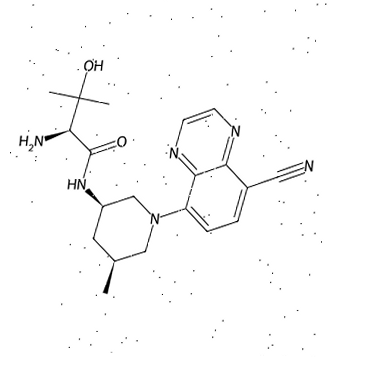 C[C@H]1C[C@@H](NC(=O)[C@@H](N)C(C)(C)O)CN(c2ccc(C#N)c3nccnc23)C1